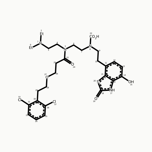 CCN(CC)CCN(CCN(CCc1ccc(O)c2[nH]c(=O)sc12)C(=O)O)C(=O)CCOCCc1c(Cl)cccc1Cl